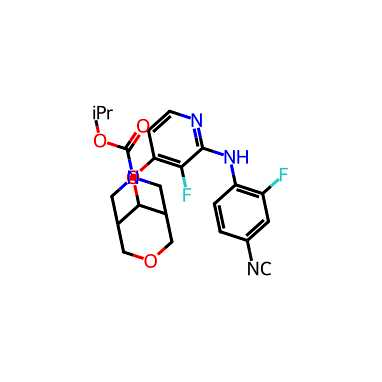 [C-]#[N+]c1ccc(Nc2nccc(OC3C4COCC3CN(C(=O)OC(C)C)C4)c2F)c(F)c1